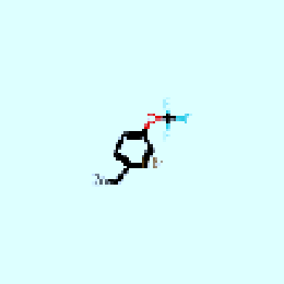 Br.FC(F)(F)Oc1ccc([CH2][Zn])cc1